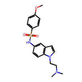 COc1ccc(S(=O)(=O)Nc2ccc3c(ccn3CCN(C)C)c2)cc1